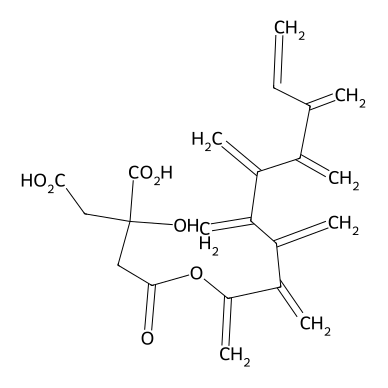 C=CC(=C)C(=C)C(=C)C(=C)C(=C)C(=C)C(=C)OC(=O)CC(O)(CC(=O)O)C(=O)O